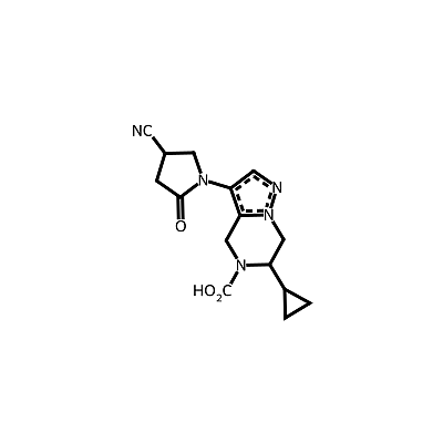 N#CC1CC(=O)N(c2cnn3c2CN(C(=O)O)C(C2CC2)C3)C1